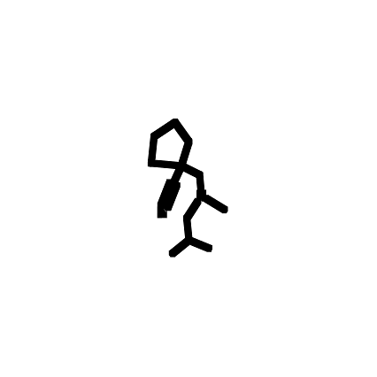 CC(C)CN(C)CC1(C#N)CCCC1